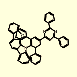 C1=CC(C2=C(n3c4ccccc4c4ccc5c6ccccc6oc5c43)C(c3ccccc3)CC(c3cc(-c4ccccc4)nc(-c4ccccc4)n3)=C2)=CCC1